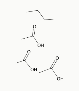 CC(=O)O.CC(=O)O.CC(=O)O.CCCC